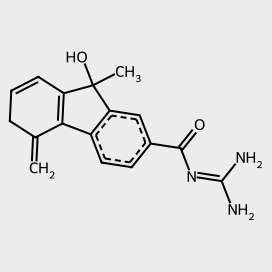 C=C1CC=CC2=C1c1ccc(C(=O)N=C(N)N)cc1C2(C)O